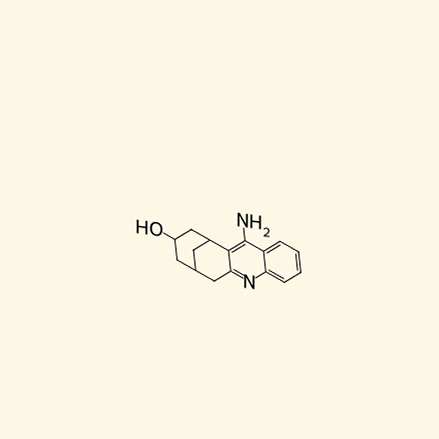 Nc1c2c(nc3ccccc13)CC1CC(O)CC2C1